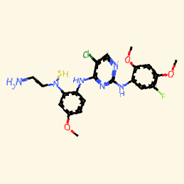 COc1ccc(Nc2nc(Nc3cc(F)c(OC)cc3OC)ncc2Cl)c(N(S)CCN)c1